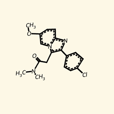 COc1ccc2nc(-c3ccc(Cl)cc3)c(CC(=O)N(C)C)n2c1